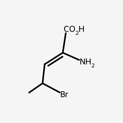 CC(Br)C=C(N)C(=O)O